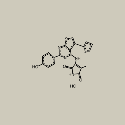 CC1=C(Nc2nc(-c3ccc(O)cc3)nc3scc(-c4cccs4)c23)C(=O)NC1=O.Cl